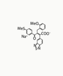 COc1ccccc1CC(C(=O)c1ccc(SC)cc1)=C(C(=O)[O-])c1ccc2nsnc2c1.[Na+]